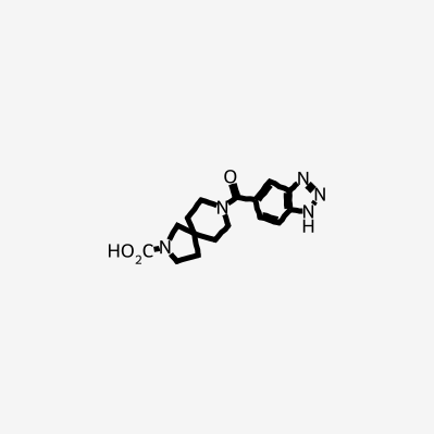 O=C(O)N1CCC2(CCN(C(=O)c3ccc4[nH]nnc4c3)CC2)C1